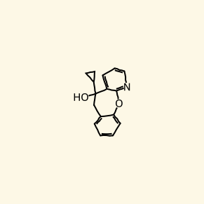 OC1(C2CC2)Cc2ccccc2Oc2ncccc21